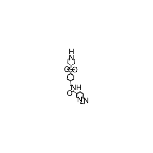 O=C(NCc1ccc(S(=O)(=O)C2CCNCC2)cc1)c1ccc2nccn2c1